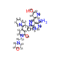 CC(c1cc2ccccn2c1-c1ccn(CCN2CCOCC2)c(=O)c1)n1nc(-c2cncc(O)c2)c2c(N)ncnc21